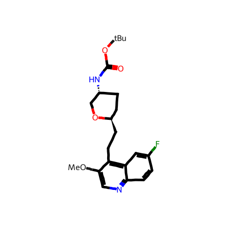 COc1cnc2ccc(F)cc2c1CC[C@@H]1CC[C@@H](NC(=O)OC(C)(C)C)CO1